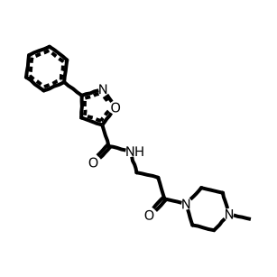 CN1CCN(C(=O)CCNC(=O)c2cc(-c3ccccc3)no2)CC1